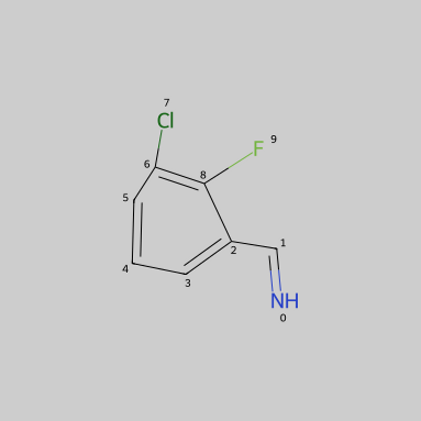 N=Cc1cccc(Cl)c1F